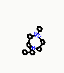 c1ccc(-c2nc3nc(n2)-c2cccc(c2)-c2ccc4c5c(-c6ccccc6)cccc5n(c4c2)-c2cccc(c2)-c2cccc-3c2)cc1